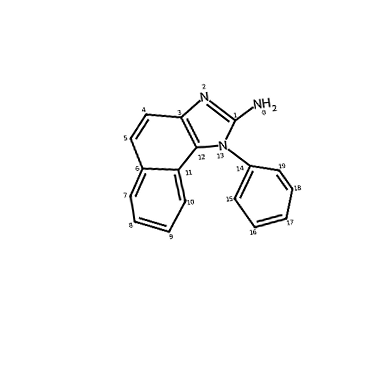 Nc1nc2ccc3ccccc3c2n1-c1ccccc1